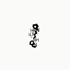 NC(CCNC1CCCc2cccnc21)Cc1nc2ccccc2[nH]1